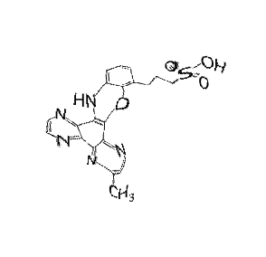 Cc1cnc2c3c(c4nccnc4c2n1)Nc1cccc(CCCS(=O)(=O)O)c1O3